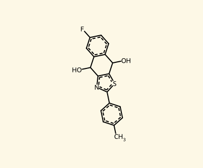 Cc1ccc(-c2nc3c(s2)C(O)c2ccc(F)cc2C3O)cc1